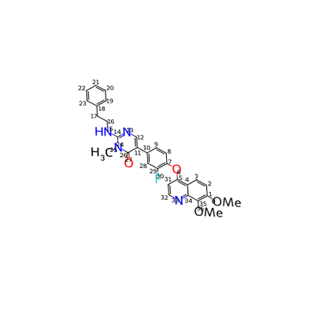 COc1ccc2c(Oc3ccc(-c4cnc(NCCc5ccccc5)n(C)c4=O)cc3F)ccnc2c1OC